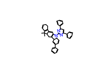 CC1(C)C2=C(CCC=C2)C2=CC3=C(CC21)C1C=C(c2ccccc2)C=CC1N3c1nc(-c2ccccc2)cc(-c2ccccc2)n1